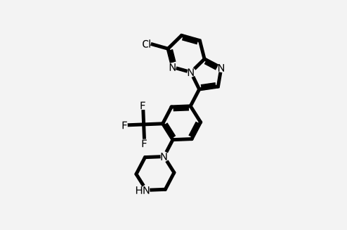 FC(F)(F)c1cc(-c2cnc3ccc(Cl)nn23)ccc1N1CCNCC1